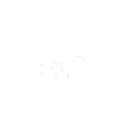 CC(C)CCSC1CC(C)(C)C(C)N1C=O